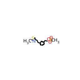 Cc1nc(CCc2cccc(CCOS(C)(=O)=O)c2)cs1